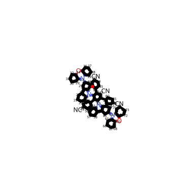 N#Cc1ccc(-c2c(C#N)c(-c3ccc(C#N)cc3)c(-n3c4ccccc4c4cc(N5c6ccccc6Oc6ccccc65)ccc43)c(-c3ccc(C#N)cc3)c2-n2c3ccccc3c3cc(N4c5ccccc5Oc5ccccc54)ccc32)cc1